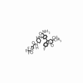 CC1(C)CC(=O)n2c(c(-c3ccc(C(N)=O)c(N[C@H]4CC[C@H](NC(=O)C5CN(C(=O)C(F)(F)F)C5)CC4)c3)c3ccc(F)cc32)C1